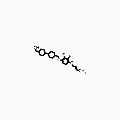 C=CC1CCC(C2CCC(COc3ccc(OC/C=C/C)c(F)c3F)CC2)CC1